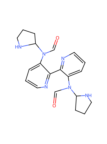 O=CN(c1cccnc1-c1ncccc1N(C=O)C1CCCN1)C1CCCN1